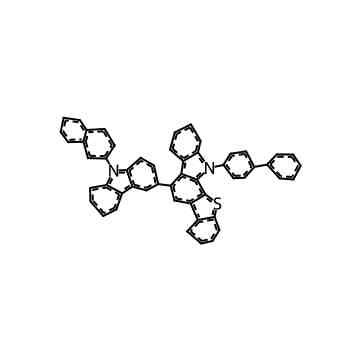 c1ccc(-c2ccc(-n3c4ccccc4c4c(-c5ccc6c(c5)c5ccccc5n6-c5ccc6ccccc6c5)cc5c6ccccc6sc5c43)cc2)cc1